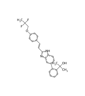 CC(F)(F)COc1ccc(/C=C/c2nc3cc(-c4ccccc4C(C)(C)O)ccc3[nH]2)cc1